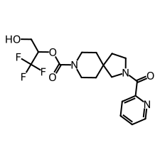 O=C(OC(CO)C(F)(F)F)N1CCC2(CC1)CCN(C(=O)c1ccccn1)C2